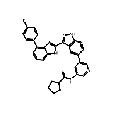 O=C(Nc1cncc(-c2cnc3[nH]nc(-c4cc5c(-c6ccc(F)cc6)cccc5[nH]4)c3c2)c1)C1CCCC1